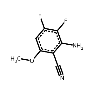 COc1cc(F)c(F)c(N)c1C#N